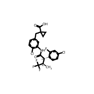 C[C@H]([C@H](C(=O)Nc1cc(CC2(C(=O)O)CC2)ccc1Cl)c1ccc(Cl)cc1F)C(F)(F)F